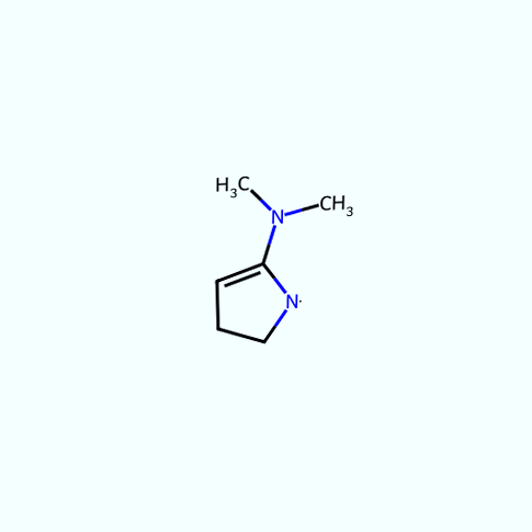 CN(C)C1=CCC[N]1